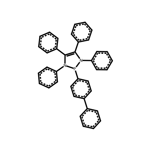 c1ccc(C2=C(c3ccccc3)N(c3ccccc3)P(c3ccc(-c4ccccc4)cc3)N2c2ccccc2)cc1